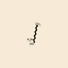 C=CCCCCCC[C@@H](N)CO